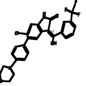 O=C1Nc2cc(Cl)c(-c3ccc(N4CCOCC4)cc3)cc2/C1=C(\O)c1cccc(C(F)(F)F)c1